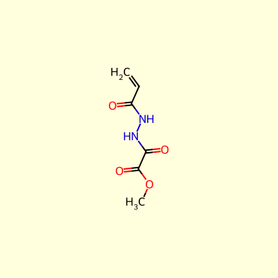 C=CC(=O)NNC(=O)C(=O)OC